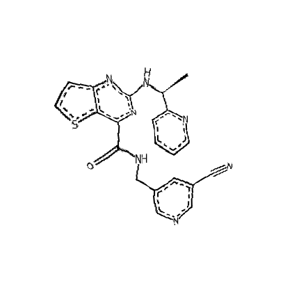 C[C@H](Nc1nc(C(=O)NCc2cncc(C#N)c2)c2sccc2n1)c1ccccn1